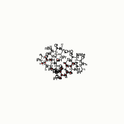 C=C/C=C(\C=C)C[C@@H](C(=O)N(C)[C@@H](CC(C)C)C(=O)N[C@H](C(=O)N(CCCC)CC(=O)N(C)[C@H](C=O)CC(C)C)C(C)O)N(C)C(=O)C(NC(=O)[C@H](CC(C)C)N(C)C(=O)[C@H](CC(C)C)N(C)C(=O)C(COCc1noc(=O)[nH]1)NC(=O)[C@H](CC(C)C)N(C)C(=O)CC(NC)C(=O)N1CCCCC1)C(C)C